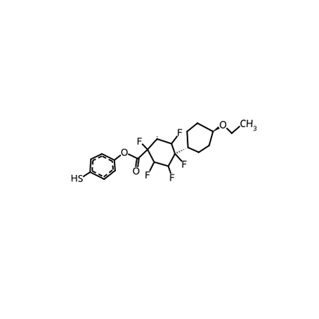 CCO[C@H]1CC[C@H](C2(F)C(F)[CH]C(F)(C(=O)Oc3ccc(S)cc3)C(F)C2F)CC1